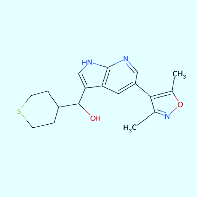 Cc1noc(C)c1-c1cnc2[nH]cc(C(O)C3CCSCC3)c2c1